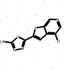 Nc1nnc(-c2cc3c(Cl)cncc3s2)s1